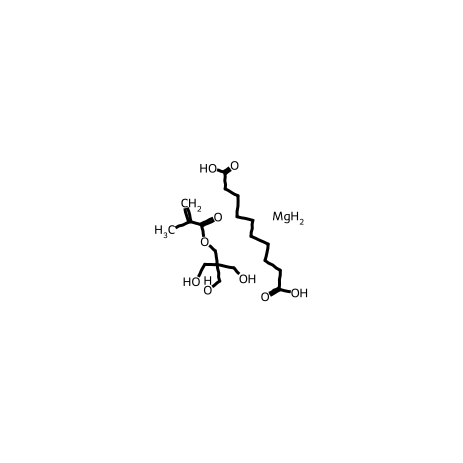 C=C(C)C(=O)OCC(CO)(CO)CO.O=C(O)CCCCCCCCC(=O)O.[MgH2]